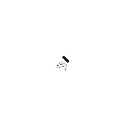 C=C.O.[CaH2]